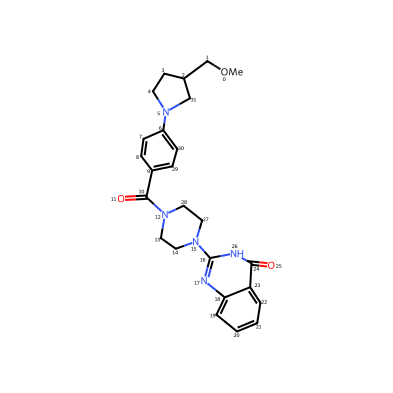 COCC1CCN(c2ccc(C(=O)N3CCN(c4nc5ccccc5c(=O)[nH]4)CC3)cc2)C1